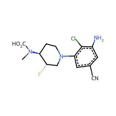 CN(C(=O)O)[C@H]1CCN(c2cc(C#N)cc(N)c2Cl)C[C@@H]1F